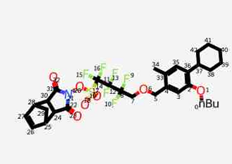 CCCCOc1cc(COCC(F)(F)C(F)(F)C(F)(F)S(=O)(=O)ON2C(=O)C3C4C=CC(C4)C3C2=O)c(C)cc1C1CCCCC1